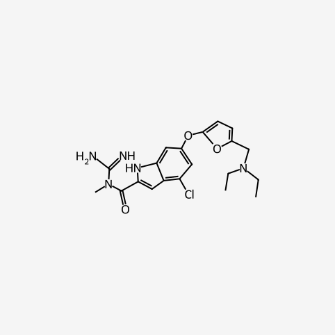 CCN(CC)Cc1ccc(Oc2cc(Cl)c3cc(C(=O)N(C)C(=N)N)[nH]c3c2)o1